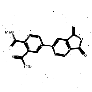 COC(=O)c1ccc(-c2ccc3c(c2)C(=O)OC3=O)cc1C(=O)OC